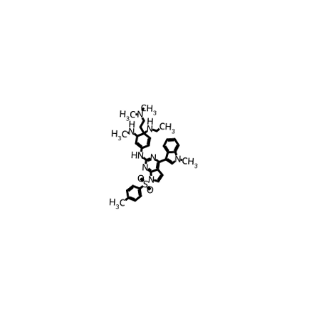 CCNC1(CCN(C)C)C=CC(Nc2nc(-c3cn(C)c4ccccc34)c3ccn(S(=O)(=O)c4ccc(C)cc4)c3n2)=CC1NC